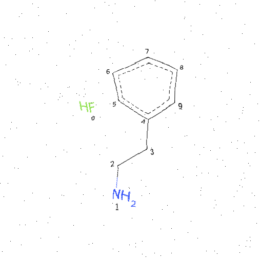 F.NCCc1ccccc1